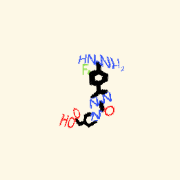 N=C(N)c1ccc(-c2cnc(C(=O)N3CCC(CC(=O)O)CC3)nc2)cc1F